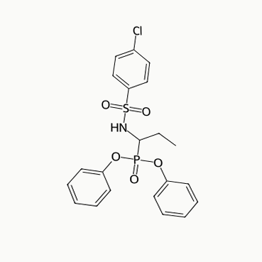 CCC(NS(=O)(=O)c1ccc(Cl)cc1)P(=O)(Oc1ccccc1)Oc1ccccc1